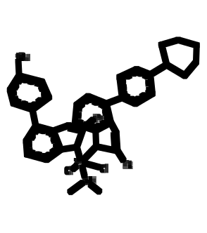 CCC1=Cc2c(-c3ccc(C4CCCCC4)cc3)cccc2[CH]1[Zr]([Cl])([Cl])([CH]1C(C(C)C)=Cc2c(-c3ccc(C(C)(C)C)cc3)cccc21)[SiH](C)C